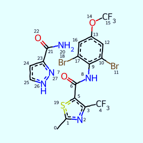 Cc1nc(C(F)(F)F)c(C(=O)Nc2c(Br)cc(OC(F)(F)F)cc2Br)s1.NC(=O)c1cc[nH]n1